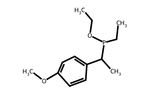 CCOP(CC)C(C)c1ccc(OC)cc1